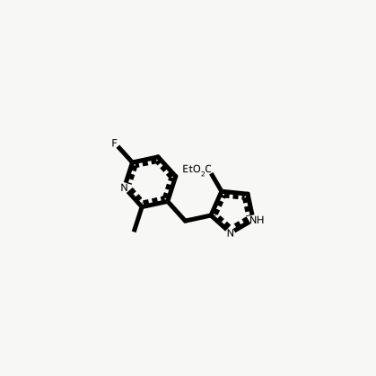 CCOC(=O)c1c[nH]nc1Cc1ccc(F)nc1C